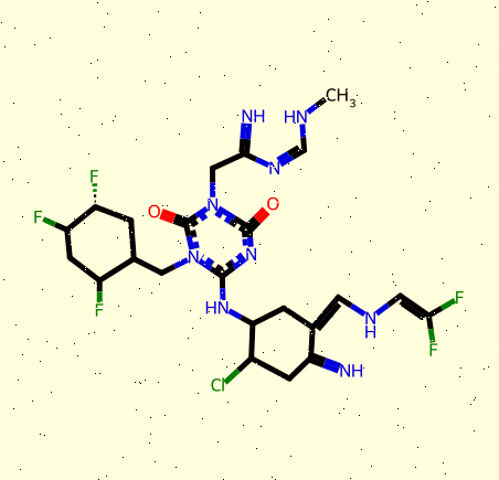 CN/C=N\C(=N)Cn1c(=O)nc(NC2C/C(=C/NC=C(F)F)C(=N)CC2Cl)n(CC2C[C@@H](F)C(F)CC2F)c1=O